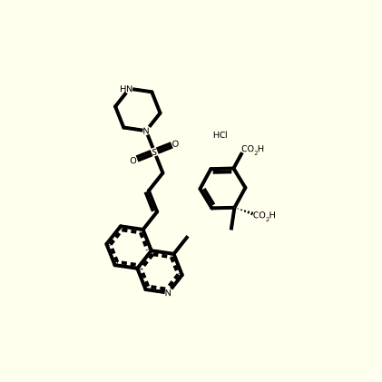 C[C@@]1(C(=O)O)C=CC=C(C(=O)O)C1.Cc1cncc2cccc(C=CCS(=O)(=O)N3CCNCC3)c12.Cl